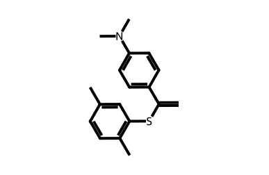 C=C(Sc1cc(C)ccc1C)c1ccc(N(C)C)cc1